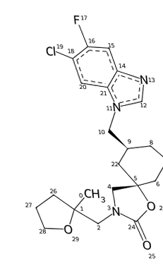 CC1(CN2C[C@@]3(CCC[C@H](Cn4cnc5cc(F)c(Cl)cc54)C3)OC2=O)CCCO1